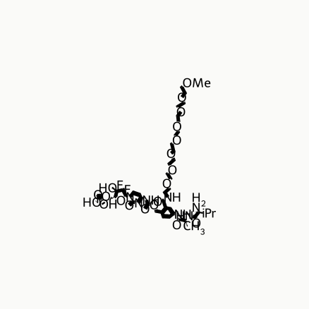 COCCOCCOCCOCCOCCOCCOCCOCCNC(=O)c1cc(NC(=O)[C@@H](C)NC(=O)[C@@H](N)C(C)C)ccc1COC(=O)Nc1ccn([C@@H]2O[C@H](COP(=O)(O)O)[C@@H](O)C2(F)F)c(=O)n1